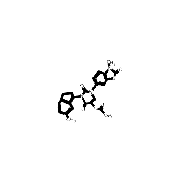 Cc1ccc2c(c1)C(n1c(=O)c(OC(=O)O)cn(-c3ccc4c(c3)sc(=O)n4C)c1=O)CC2